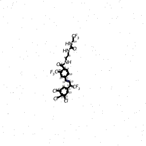 O=C(NCCNC(=O)c1ccc(/C=C/C(c2cc(Cl)c(Cl)c(Cl)c2)C(F)(F)F)cc1C(F)(F)F)NCC(F)(F)F